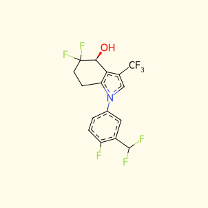 O[C@H]1c2c(C(F)(F)F)cn(-c3ccc(F)c(C(F)F)c3)c2CCC1(F)F